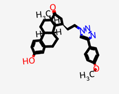 COc1ccc(-c2cn(CC[C@@H]3CC(=O)[C@@]4(C)CC[C@@H]5c6ccc(O)cc6CC[C@H]5[C@H]34)nn2)cc1